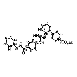 CCOC(=O)N1CC=C(c2ccc[nH]/c2=N\C(=N)Nc2ccc(C(=O)NCC3CCCCN3)cc2)CC1